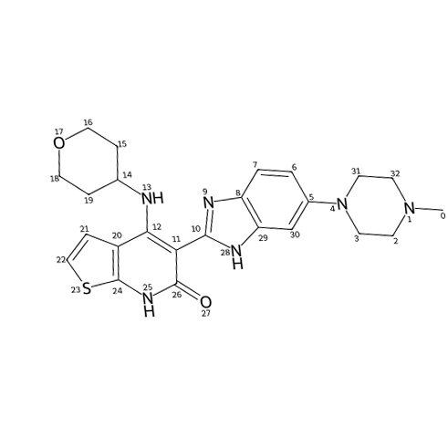 CN1CCN(c2ccc3nc(-c4c(NC5CCOCC5)c5ccsc5[nH]c4=O)[nH]c3c2)CC1